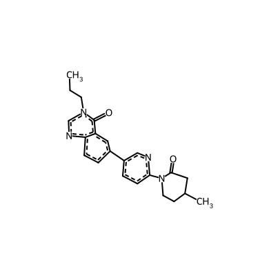 CCCn1cnc2ccc(-c3ccc(N4CCC(C)CC4=O)nc3)cc2c1=O